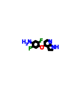 Nc1cc(F)c(Oc2ccnc3[nH]ccc23)cc1F